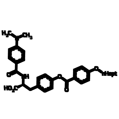 CCCCCCCOc1ccc(C(=O)Oc2ccc(C[C@H](NC(=O)c3ccc(N(C)C)cc3)C(=O)O)cc2)cc1